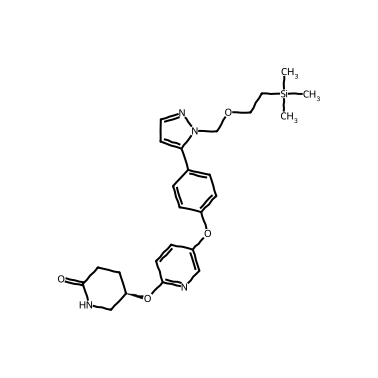 C[Si](C)(C)CCOCn1nccc1-c1ccc(Oc2ccc(O[C@@H]3CCC(=O)NC3)nc2)cc1